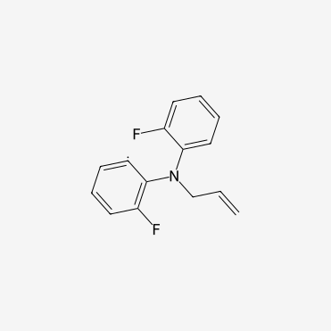 C=CCN(c1[c]cccc1F)c1ccccc1F